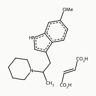 COc1ccc2c(CC(C)N3CCCCC3)c[nH]c2c1.O=C(O)/C=C/C(=O)O